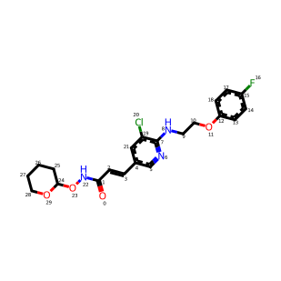 O=C(/C=C/c1cnc(NCCOc2ccc(F)cc2)c(Cl)c1)NOC1CCCCO1